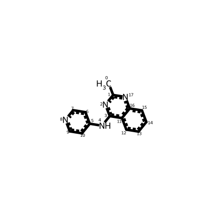 Cc1nc(Nc2ccncc2)c2ccccc2n1